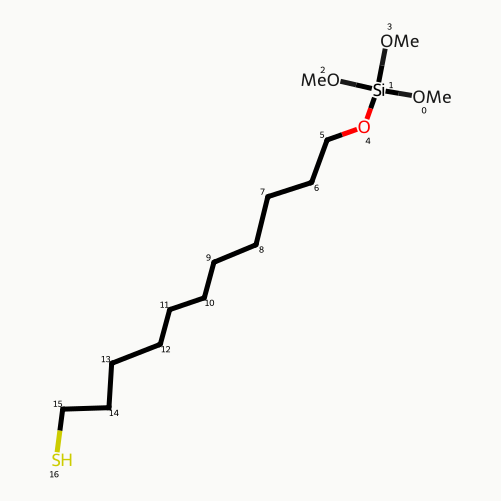 CO[Si](OC)(OC)OCCCCCCCCCCCS